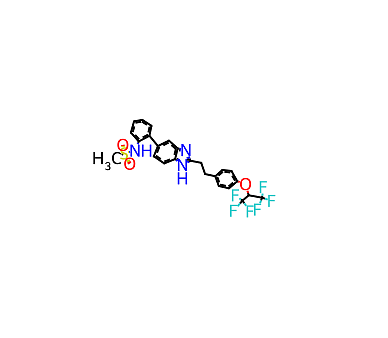 CS(=O)(=O)Nc1ccccc1-c1ccc2[nH]c(CCc3ccc(OC(C(F)(F)F)C(F)(F)F)cc3)nc2c1